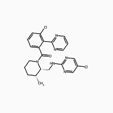 C[C@@H]1CCCN(C(=O)c2cccc(Cl)c2-c2ncccn2)[C@@H]1CNc1ncc(Cl)cn1